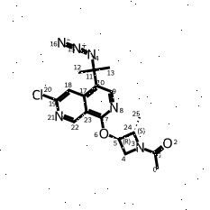 CC(=O)N1C[C@@H](Oc2ncc(C(C)(C)N=[N+]=[N-])c3cc(Cl)ncc23)[C@@H]1C